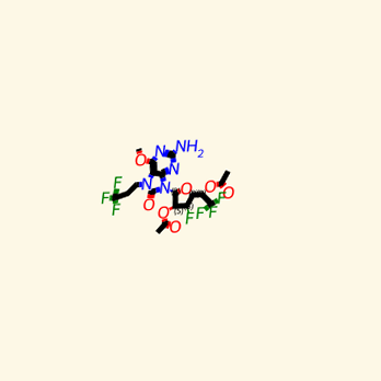 COc1nc(N)nc2c1n(CCC(F)(F)F)c(=O)n2[C@@H]1O[C@H]([C@@H](OC(C)=O)C(F)(F)F)[C@H](F)[C@H]1OC(C)=O